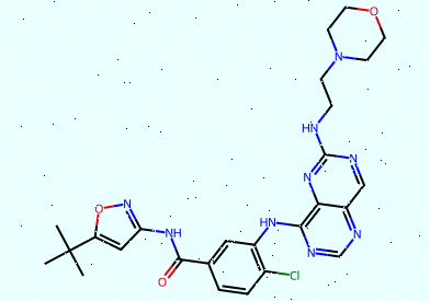 CC(C)(C)c1cc(NC(=O)c2ccc(Cl)c(Nc3ncnc4cnc(NCCN5CCOCC5)nc34)c2)no1